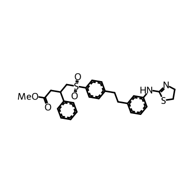 COC(=O)CC(CS(=O)(=O)c1ccc(CCc2cccc(NC3=NCCS3)c2)cc1)c1ccccc1